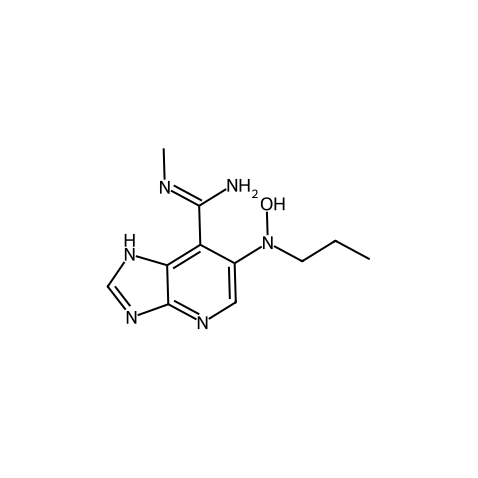 CCCN(O)c1cnc2nc[nH]c2c1C(N)=NC